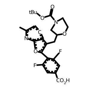 Cc1ccc2c(CC3CN(C(=O)OC(C)(C)C)CCO3)c(-c3c(F)cc(C(=O)O)cc3F)oc2n1